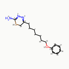 NC1=NN=C(CCCCCCCOc2ccccc2)CS1